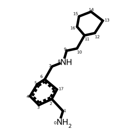 NCc1cccc(CNCCC2CCCCC2)c1